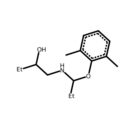 CCC(O)CNC(CC)Oc1c(C)cccc1C